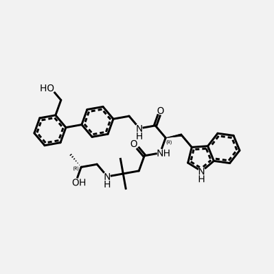 C[C@@H](O)CNC(C)(C)CC(=O)N[C@H](Cc1c[nH]c2ccccc12)C(=O)NCc1ccc(-c2ccccc2CO)cc1